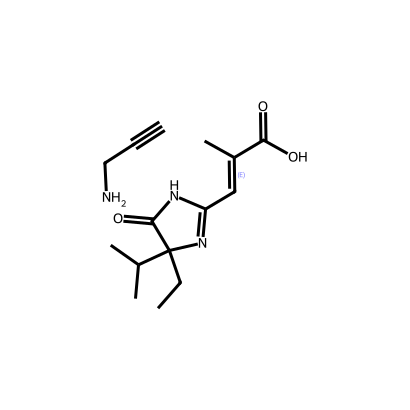 C#CCN.CCC1(C(C)C)N=C(/C=C(\C)C(=O)O)NC1=O